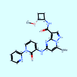 CCO[C@@H]1CC[C@H]1NC(=O)c1cnn2c(NC)cc(Nc3cccn(-c4ccccn4)c3=O)nc12